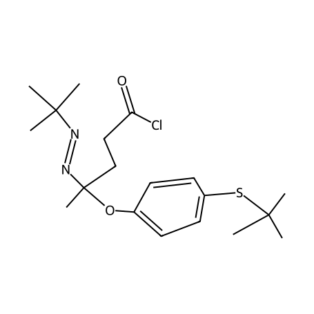 CC(C)(C)N=NC(C)(CCC(=O)Cl)Oc1ccc(SC(C)(C)C)cc1